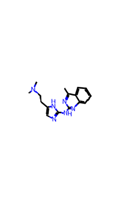 Cc1nc(Nc2ncc(CCN(C)C)[nH]2)nc2ccccc12